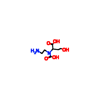 NCCN(C(=O)O)C(CCO)C(=O)O